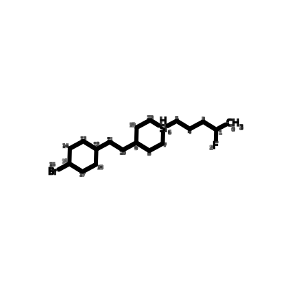 CC(F)CCC[SiH]1CCC(CCC2CCC(Br)CC2)CC1